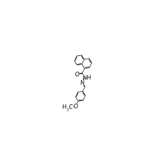 COc1ccc(C=NNC(=O)c2cccc3ccccc23)cc1